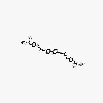 CCOC(=O)C(Cc1ccc(OC/C=C(\C)C#Cc2ccc(-c3ccc(C#C/C(C)=C/COc4ccc(CC(OCC)C(=O)O)cc4)cc3)cc2)cc1)OCC